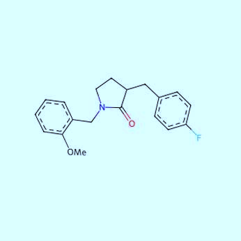 COc1ccccc1CN1CCC(Cc2ccc(F)cc2)C1=O